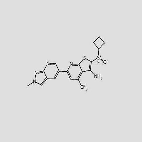 Cn1cc2cc(-c3cc(C(F)(F)F)c4c(N)c([S@+]([O-])C5CCC5)sc4n3)cnc2n1